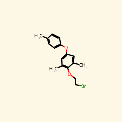 Cc1ccc(Oc2cc(C)c(OCCBr)c(C)c2)cc1